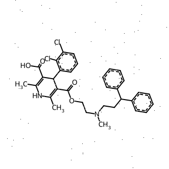 CC1=C(C(=O)O)C(c2cccc(Cl)c2Cl)C(C(=O)OCCN(C)CCC(c2ccccc2)c2ccccc2)=C(C)N1